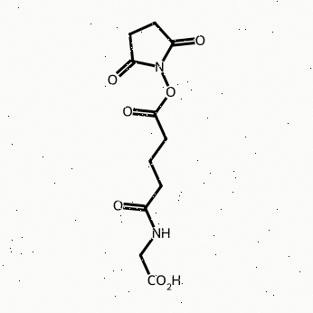 O=C(O)CNC(=O)CCCC(=O)ON1C(=O)CCC1=O